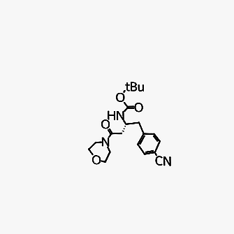 CC(C)(C)OC(=O)N[C@@H](CC(=O)N1CCOCC1)Cc1ccc(C#N)cc1